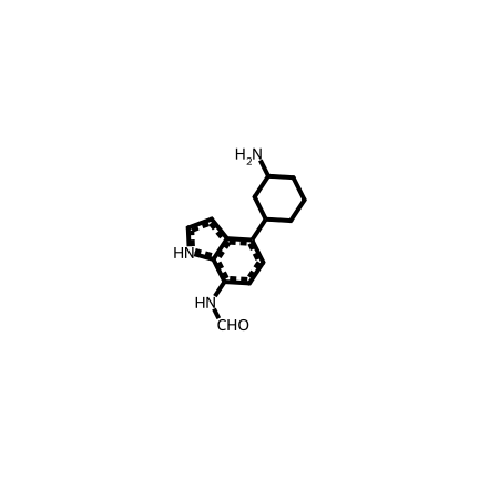 NC1CCCC(c2ccc(NC=O)c3[nH]ccc23)C1